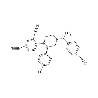 [C-]#[N+]c1ccc(C(C)N2CCN(c3ccc(C#N)cc3C#N)[C@H](c3ccc(Cl)cc3)C2)cc1